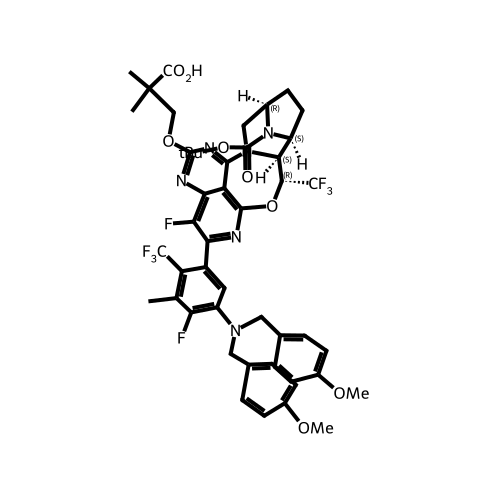 COc1ccc(CN(Cc2ccc(OC)cc2)c2cc(-c3nc4c5c(nc(OCC(C)(C)C(=O)O)nc5c3F)N3C[C@H]5CC[C@@H]([C@H]3[C@H](C(F)(F)F)O4)N5C(=O)OC(C)(C)C)c(C(F)(F)F)c(C)c2F)cc1